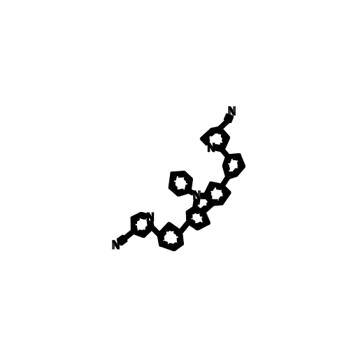 N#Cc1ccnc(-c2cccc(-c3ccc4c5ccc(-c6cccc(-c7cc(C#N)ccn7)c6)cc5n(-c5ccccc5)c4c3)c2)c1